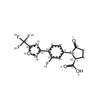 O=C(O)[C@@H]1CCC(=O)N1c1ccc(-c2noc(C(F)(F)F)n2)c(F)c1